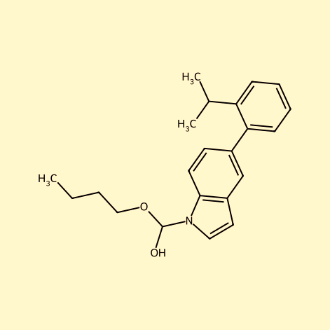 CCCCOC(O)n1ccc2cc(-c3ccccc3C(C)C)ccc21